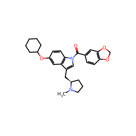 CN1CCC[C@@H]1Cc1cn(C(=O)c2ccc3c(c2)OCO3)c2ccc(OC3CCCCC3)cc12